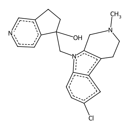 CN1CCc2c(n(CC3(O)CCc4cnccc43)c3ccc(Cl)cc23)C1